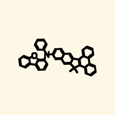 CC1(C)c2cc3cc(N(c4ccccc4)c4cccc5c4oc4ccccc45)ccc3cc2-c2c1c1ccccc1c1ccccc21